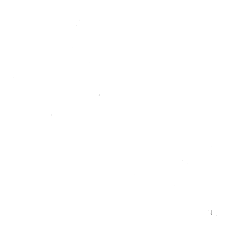 CCC1C(F)Cc2c(ccc3cc(-c4ccc(C#N)c(F)c4)ccc23)C1F